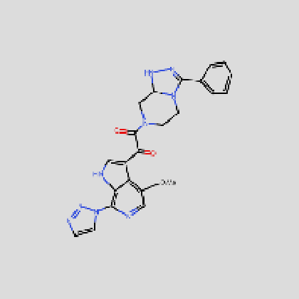 COc1cnc(-n2ccnn2)c2[nH]cc(C(=O)C(=O)N3CCN4C(c5ccccc5)=NNC4C3)c12